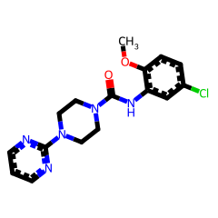 COc1ccc(Cl)cc1NC(=O)N1CCN(c2ncccn2)CC1